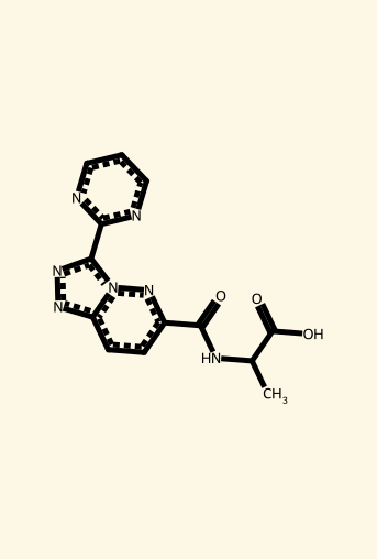 CC(NC(=O)c1ccc2nnc(-c3ncccn3)n2n1)C(=O)O